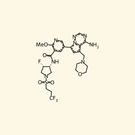 COc1ncc(-c2cc(CN3CCOCC3)c3c(N)ncnn23)cc1C(=O)N[C@@H]1CN(S(=O)(=O)CCC(F)(F)F)C[C@@H]1F